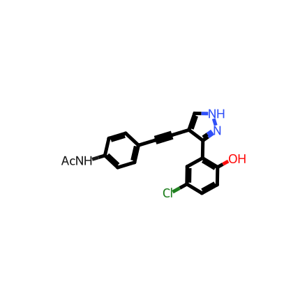 CC(=O)Nc1ccc(C#Cc2c[nH]nc2-c2cc(Cl)ccc2O)cc1